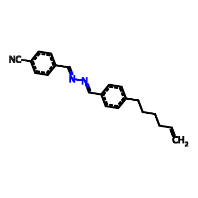 C=CCCCCc1ccc(/C=N/N=C/c2ccc(C#N)cc2)cc1